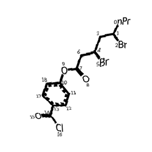 CCCC(Br)CC(Br)CC(=O)Oc1ccc(C(=O)Cl)cc1